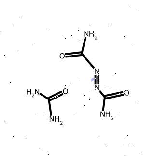 NC(=O)/N=N/C(N)=O.NC(N)=O